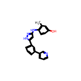 Cc1cc(O)ccc1Nc1cc(-c2cccc(-c3cccnc3)c2)[nH]n1